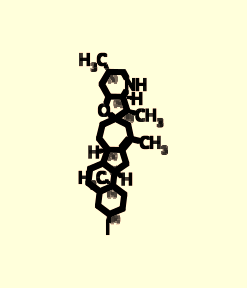 CC1=C2C[C@H]3C(CCC4C[C@H](I)CC[C@@]43C)[C@@H]2CCC2(C1)OC1C[C@H](C)CN[C@H]1[C@H]2C